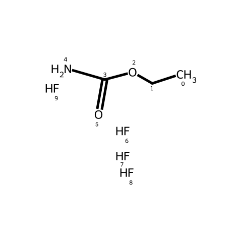 CCOC(N)=O.F.F.F.F